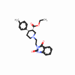 CCOC(=O)[C@@H]1CN(CCn2c(=O)[nH]c3ccccc3c2=O)CC[C@@H]1c1ccc(C)cc1